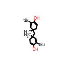 CC1(CC2(C)C=C(C(C)(C)C)C(O)=CC2)C=C(C(C)(C)C)C(O)=CC1